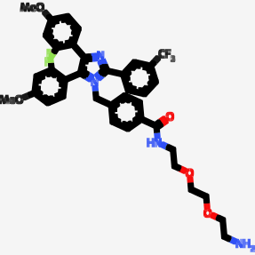 COc1ccc(-c2nc(-c3cccc(C(F)(F)F)c3)n(Cc3ccc(C(=O)NCCOCCOCCN)cc3)c2-c2ccc(OC)cc2F)c(F)c1